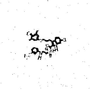 Cc1cc(OCCCc2c(C(=O)NS(=O)(=O)CCNc3cccc(C(F)(F)F)c3)[nH]c3cc(Cl)ccc23)cc(C)c1Cl